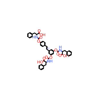 O=C(NC(Cc1ccccc1)C(=O)O)Oc1ccc(/C=C/c2cc(OC(=O)NC(Cc3ccccc3)C(=O)O)cc(OC(=O)NC(Cc3ccccc3)C(=O)O)c2)cc1